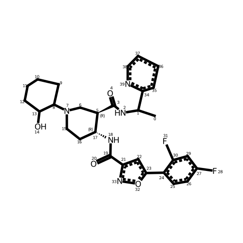 CC(NC(=O)[C@@H]1CN(C2CCCCC2O)CC[C@H]1NC(=O)c1cc(-c2ccc(F)cc2F)on1)c1ccccn1